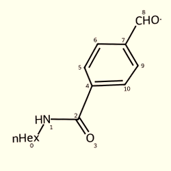 [CH2]CCCCCNC(=O)c1ccc([C]=O)cc1